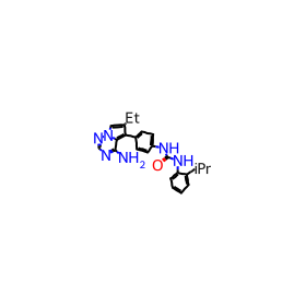 [CH2]Cc1cn2ncnc(N)c2c1-c1ccc(NC(=O)Nc2ccccc2C(C)C)cc1